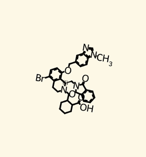 Cn1cnc2cc(COc3ccc(Br)c4c3[C@@H](CN3Cc5ccccc5C3=O)N(C(=O)C3CCCCC3C(=O)O)CC4)ccc21